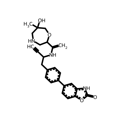 C#CC(Cc1ccc(-c2ccc3oc(=O)[nH]c3c2)cc1)NC(=C)C1CNCC(C)(O)CO1